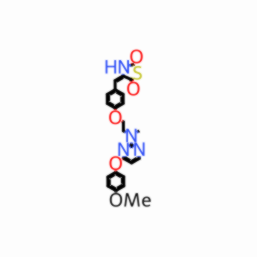 COc1ccc(Oc2ccnc(N(C)CCOc3ccc(C=C4NC(=O)SC4=O)cc3)n2)cc1